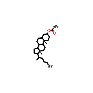 CCCC(=O)O[C@H]1CC[C@@]2(C)C(=CCC3C4CCC(C(C)CCCC(C)C)[C@@]4(C)CCC32)C1